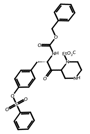 CCOC(=O)N1CCNCC1C(=O)[C@H](Cc1ccc(OS(=O)(=O)c2ccccc2)cc1)NC(=O)OCc1ccccc1